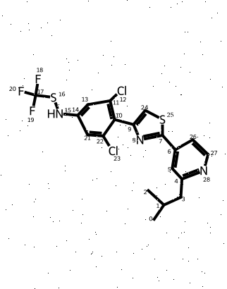 CC(C)Cc1cc(-c2nc(-c3c(Cl)cc(NSC(F)(F)F)cc3Cl)cs2)ccn1